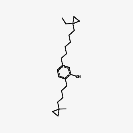 CCC1(CCCCCCc2ccc(CCCCC3(C)CC3)c(O)c2)CC1